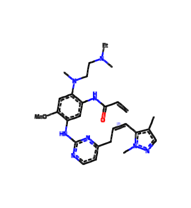 C=CC(=O)Nc1cc(Nc2nccc(C/C=C\c3c(C)cnn3C)n2)c(OC)cc1N(C)CCN(C)CC